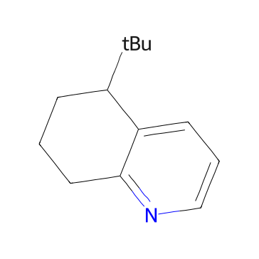 CC(C)(C)C1CCCc2ncccc21